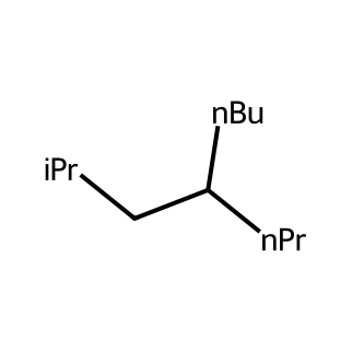 C[CH]CC(CCCC)CC(C)C